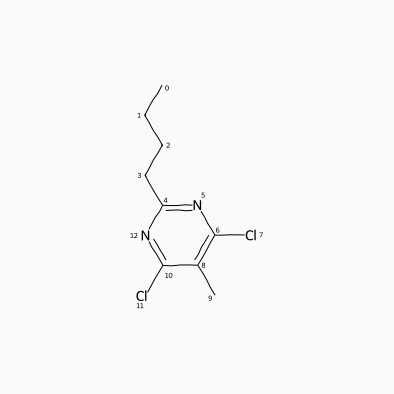 CCCCc1nc(Cl)c(C)c(Cl)n1